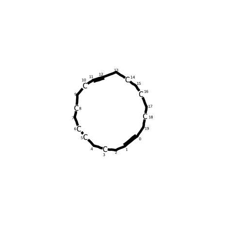 C1=CCCCCCCCCCC=CCCCCCCC1